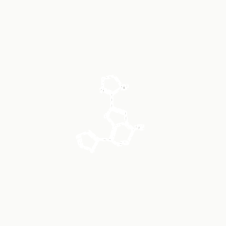 Cl.c1csc(-c2cccc3cc(C4=NCCN4)oc23)c1